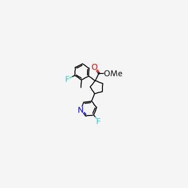 COC(=O)C1(c2cccc(F)c2C)CCC(c2cncc(F)c2)C1